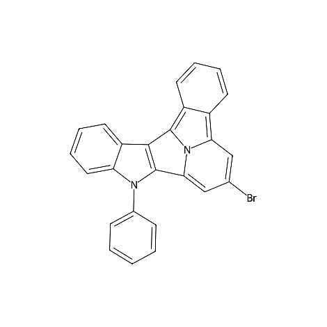 Brc1cc2c3ccccc3c3c4c5ccccc5n(-c5ccccc5)c4c(c1)n23